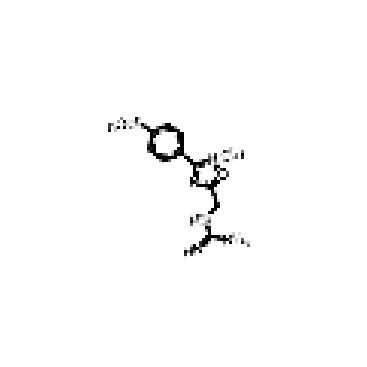 CCCCCCCCc1ccc(-c2noc(CNC(=N)N)n2)cc1.Cl